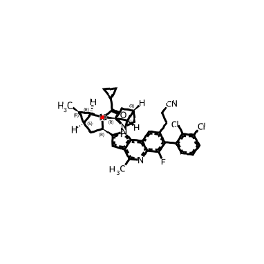 Cc1nc2c(F)c(-c3cccc(Cl)c3Cl)c(CCC#N)cc2c2c1cc([C@H]1C[C@H]3[C@@H](C)[C@H]3N1C(=O)C1CC1)n2[C@H]1[C@H]2CN[C@@H]1C2